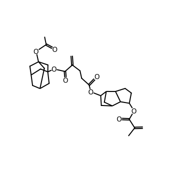 C=C(C)C(=O)OC1CCC2C3CC(CC3OC(=O)CCC(=C)C(=O)OC34CC5CC(CC(OC(C)=O)(C5)C3)C4)C12